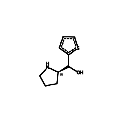 OC(c1cccs1)[C@H]1CCCN1